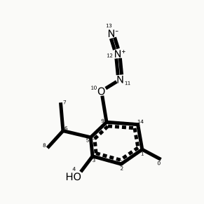 Cc1cc(O)c(C(C)C)c(ON=[N+]=[N-])c1